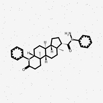 C[C@]12CC[C@H]3[C@@H](CC[C@H]4N(c5ccccc5)C(=O)CC[C@]34C)[C@@H]1CC[C@@H]2C(=O)N(N)c1ccccc1